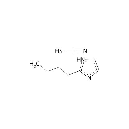 CCCCc1ncc[nH]1.N#CS